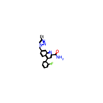 CCc1cn(Cc2ccc3c(-c4ccccc4F)cc(C(N)=O)nc3c2)nn1